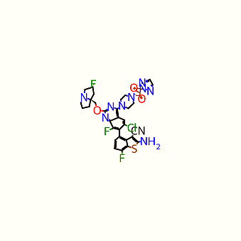 N#Cc1c(N)sc2c(F)ccc(-c3c(Cl)cc4c(N5CCN(S(=O)(=O)n6nccn6)CC5)nc(OC[C@@]56CCCN5C[C@H](F)C6)nc4c3F)c12